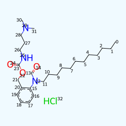 CCCCCCCCCCCCN(C=O)c1ccccc1COC(=O)NCCCN(C)C.Cl